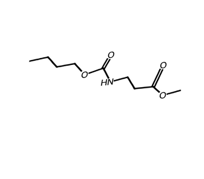 CCCCOC(=O)NCCC(=O)OC